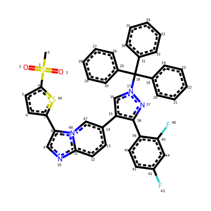 CS(=O)(=O)c1ccc(-c2cnc3ccc(-c4cn(C(c5ccccc5)(c5ccccc5)c5ccccc5)nc4-c4ccc(F)cc4F)cn23)s1